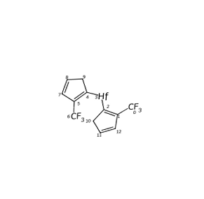 FC(F)(F)C1=[C]([Hf][C]2=C(C(F)(F)F)C=CC2)CC=C1